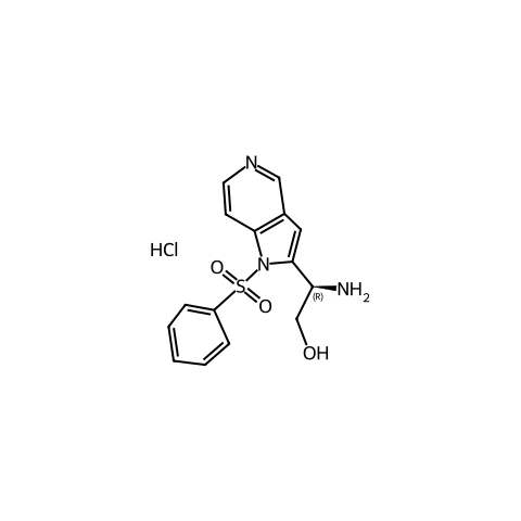 Cl.N[C@@H](CO)c1cc2cnccc2n1S(=O)(=O)c1ccccc1